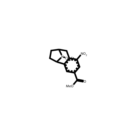 CCOC(=O)N1C2CCC1c1cc(C(=O)OC)cc([N+](=O)[O-])c1C2